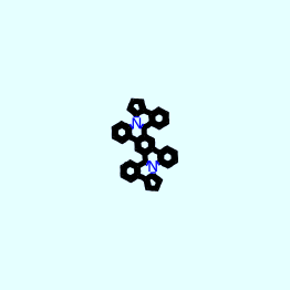 C1=C2C(=CC1)N1c3ccccc3-c3cc4c(cc3C1c1ccccc12)-c1ccccc1N1C2=CCC=C2c2ccccc2C41